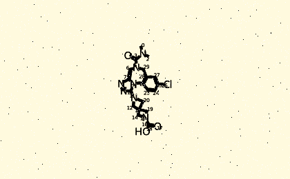 CN(C)C(=O)N1C=C2N=NC(N3CC4(CN(C(=O)O)C4)C3)N2c2ccc(Cl)cc2C1